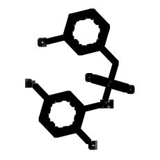 O=S(=O)(Cc1cccc(Cl)c1)Nc1cc(Br)ccc1Cl